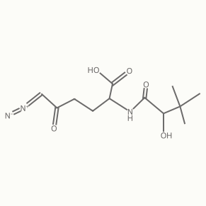 CC(C)(C)C(O)C(=O)NC(CCC(=O)C=[N+]=[N-])C(=O)O